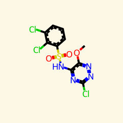 COc1nnc(Cl)nc1NS(=O)(=O)c1cccc(Cl)c1Cl